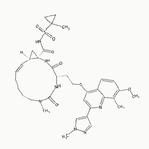 COc1ccc2c(OCC[C@@H]3NC(=O)N(C)CCCC/C=C\[C@H]4C[C@@]4(C(=O)NS(=O)(=O)C4(C)CC4)NC3=O)cc(-c3cnn(C)c3)nc2c1C